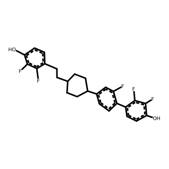 Oc1ccc(CCC2CCC(c3ccc(-c4ccc(O)c(F)c4F)c(F)c3)CC2)c(F)c1F